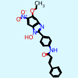 CCOc1cc2nc(-c3ccc(NC(=O)/C=C/c4ccccc4)cc3)n(O)c2cc1[N+](=O)[O-]